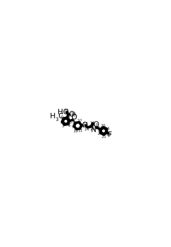 Cc1cccc(C(=O)[C@@H]2CCC[C@H](OCc3coc(-c4ccc(F)cc4)n3)C2)c1C(=O)O